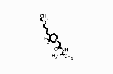 CCOCCCC1CCN(CC(=O)NC(C)C)CC1(F)F